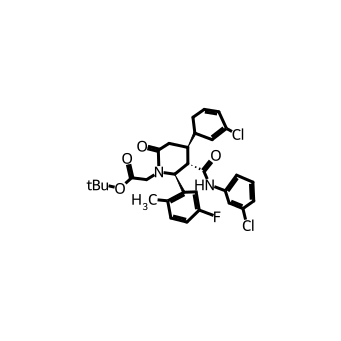 Cc1ccc(F)cc1[C@@H]1[C@@H](C(=O)Nc2cccc(Cl)c2)[C@H](C2C=C(Cl)C=CC2)CC(=O)N1CC(=O)OC(C)(C)C